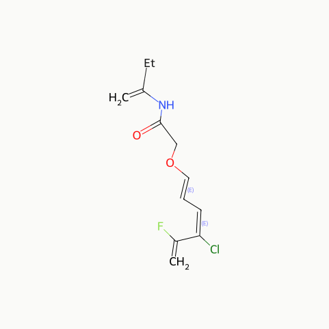 C=C(CC)NC(=O)CO/C=C/C=C(/Cl)C(=C)F